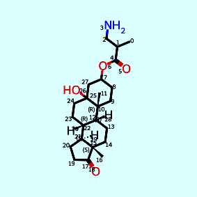 CC(CN)C(=O)OC1CC[C@]2(C)[C@@H]3CC[C@]4(C)C(=O)CC[C@H]4[C@@H]3CCC2(O)C1